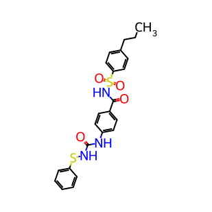 CCCc1ccc(S(=O)(=O)NC(=O)c2ccc(NC(=O)NSc3ccccc3)cc2)cc1